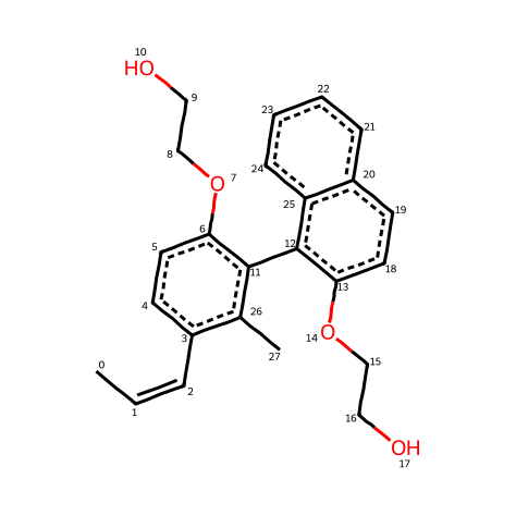 C/C=C\c1ccc(OCCO)c(-c2c(OCCO)ccc3ccccc23)c1C